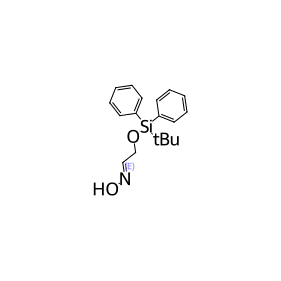 CC(C)(C)[Si](OC/C=N/O)(c1ccccc1)c1ccccc1